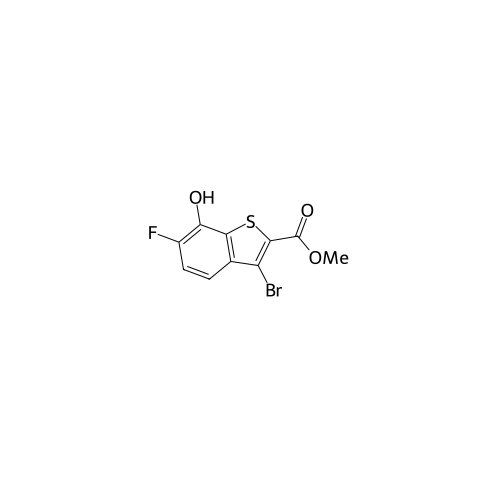 COC(=O)c1sc2c(O)c(F)ccc2c1Br